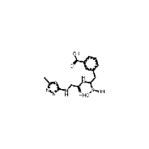 Cc1nnc(NCC(=O)NC(Cc2cccc(C(=O)O)c2)B(O)O)s1